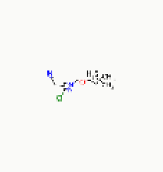 C[Si](C)(C)CCOCn1cc(CC#N)c(Cl)n1